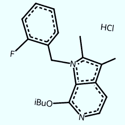 Cc1c(C)n(Cc2ccccc2F)c2c(OCC(C)C)nccc12.Cl